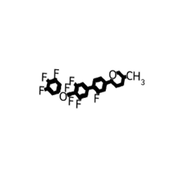 CC1CCC(c2ccc(-c3cc(F)c(C(F)(F)Oc4cc(F)c(F)c(F)c4)c(F)c3)c(F)c2)OC1